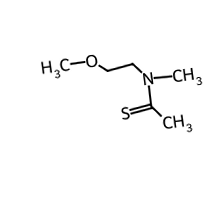 COCCN(C)C(C)=S